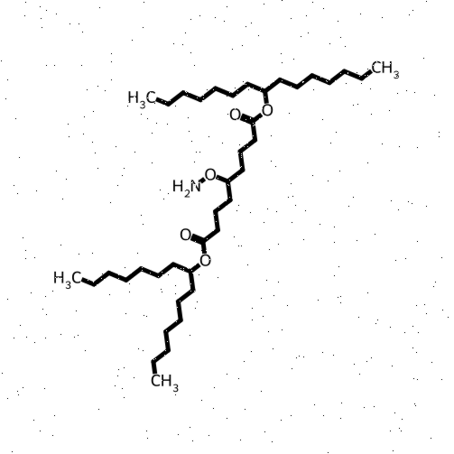 CCCCCCCC(CCCCCCC)OC(=O)CCCC(CCCC(=O)OC(CCCCCCC)CCCCCCC)ON